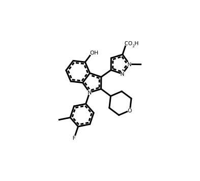 Cc1cc(-n2c(C3CCOCC3)c(-c3cc(C(=O)O)n(C)n3)c3c(O)cccc32)ccc1F